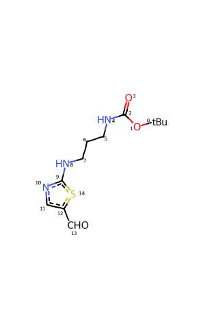 CC(C)(C)OC(=O)NCCCNc1ncc(C=O)s1